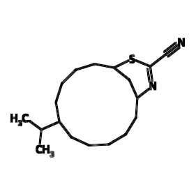 CC(C)C1CCCCCC2CC(CCCC1)SC(C#N)=N2